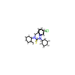 CC1CCCCC1N(Cc1ccc(Cl)cc1)C(=S)NC1CCCCC1